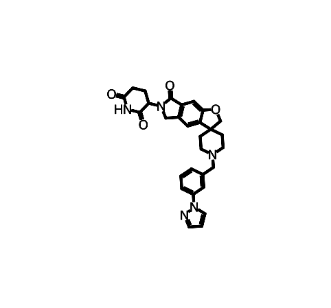 O=C1CCC(N2Cc3cc4c(cc3C2=O)OCC42CCN(Cc3cccc(-n4cccn4)c3)CC2)C(=O)N1